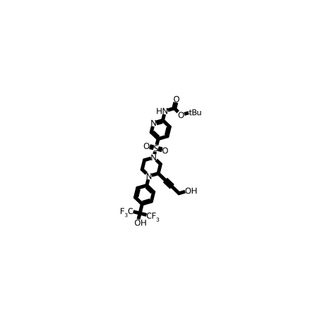 CC(C)(C)OC(=O)Nc1ccc(S(=O)(=O)N2CCN(c3ccc(C(O)(C(F)(F)F)C(F)(F)F)cc3)C(C#CCO)C2)cn1